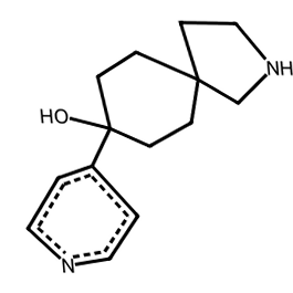 OC1(c2ccncc2)CCC2(CCNC2)CC1